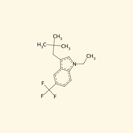 CCn1cc(CC(C)(C)C)c2cc(C(F)(F)F)ccc21